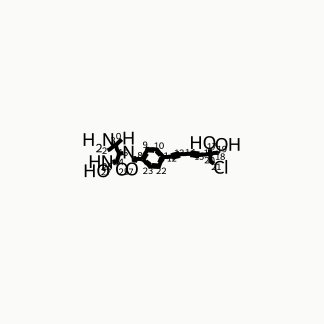 CC(C)(N)C(NC(=O)c1ccc(C#CC#CC(O)(CO)CCl)cc1)C(=O)NO